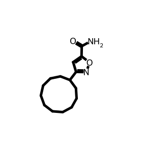 NC(=O)c1cc(C2CCCCCCCCCC2)no1